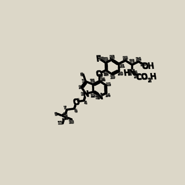 Cc1cn(COCC[Si](C)(C)C)c2nccc(Oc3ccc(CC(CO)NC(=O)O)cc3F)c12